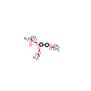 C=C(C)C(=O)Oc1ccc(-c2ccc(OCCOC(O)C(=C)C)c(OCCOC(=O)CC)c2)cc1